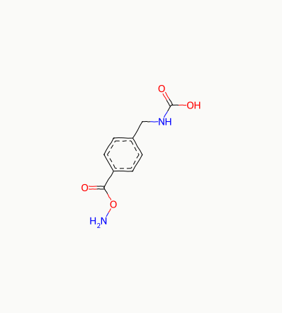 NOC(=O)c1ccc(CNC(=O)O)cc1